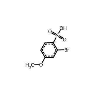 COc1ccc(S(=O)(=O)O)c(Br)c1